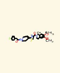 COc1cc2c(cc1OC)C(C)N(C(=O)c1csc(C3CCN(C(=O)Cc4ccc(F)cc4)CC3)n1)CC2